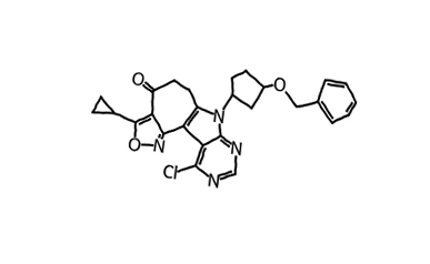 O=C1CCc2c(c3c(Cl)ncnc3n2C2CCC(OCc3ccccc3)C2)-c2noc(C3CC3)c21